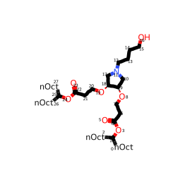 CCCCCCCCC(CCCCCCCC)OC(=O)CCO[C@H]1CN(CCCCO)C[C@H]1OCCC(=O)OC(CCCCCCCC)CCCCCCCC